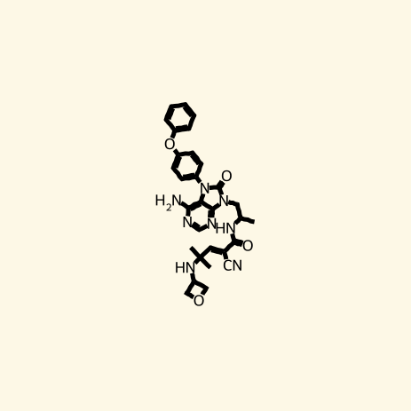 CC(Cn1c(=O)n(-c2ccc(Oc3ccccc3)cc2)c2c(N)ncnc21)NC(=O)C(C#N)=CC(C)(C)NC1COC1